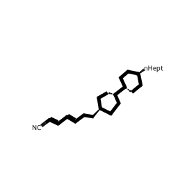 CCCCCCC[C@H]1CC[C@H]([C@H]2CC[C@H](CCC=CC=CC#N)CC2)CC1